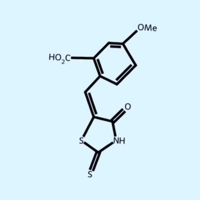 COc1ccc(C=C2SC(=S)NC2=O)c(C(=O)O)c1